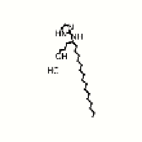 CCCCCCCCCCCCCCCCC(CCCO)NC1=NCCN1.Cl